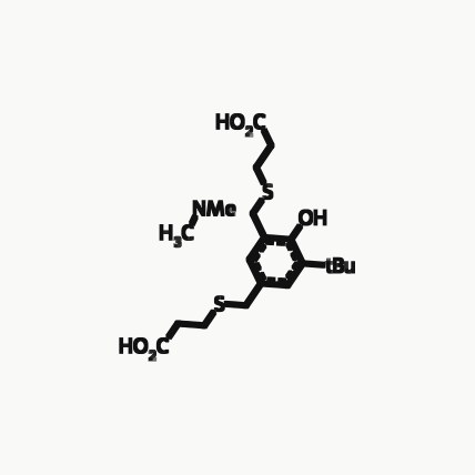 CC(C)(C)c1cc(CSCCC(=O)O)cc(CSCCC(=O)O)c1O.CNC